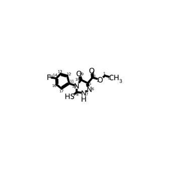 CCOC(=O)C1=NNC(S)N(c2ccc(F)cc2)C1=O